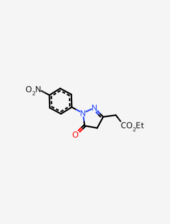 CCOC(=O)CC1=NN(c2ccc([N+](=O)[O-])cc2)C(=O)C1